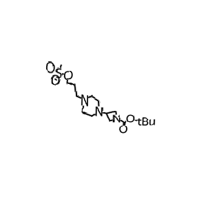 CC(C)(C)OC(=O)N1CC(N2CCN(CCCOS(C)(=O)=O)CC2)C1